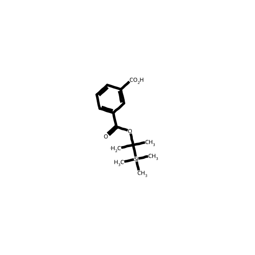 [CH2]C(C)(OC(=O)c1cccc(C(=O)O)c1)[Si](C)(C)C